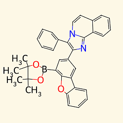 CC1(C)OB(c2cc(-c3nc4c5ccccc5ccn4c3-c3ccccc3)cc3c2oc2ccccc23)OC1(C)C